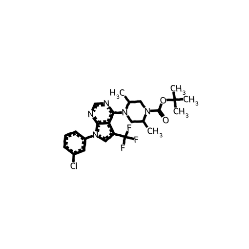 CC1CN(c2ncnc3c2c(C(F)(F)F)cn3-c2cccc(Cl)c2)C(C)CN1C(=O)OC(C)(C)C